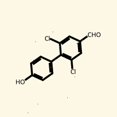 O=Cc1cc(Cl)c(-c2ccc(O)cc2)c(Cl)c1